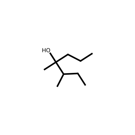 CCCC(C)(O)C(C)CC